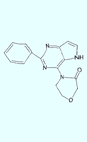 O=C1COCCN1c1nc(-c2ccccc2)nc2cc[nH]c12